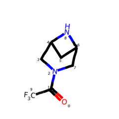 O=C(N1CC2CC(C1)N2)C(F)(F)F